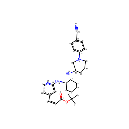 CC(C)(C)OC(=O)/C=C\c1ccnc(N[C@@H]2CCCC[C@H]2NC2CCCN(c3ccc(C#N)cc3)C2)c1